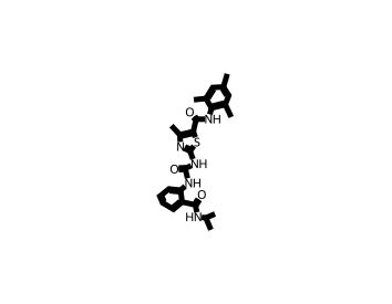 Cc1cc(C)c(NC(=O)c2sc(NC(=O)Nc3ccccc3C(=O)NC(C)C)nc2C)c(C)c1